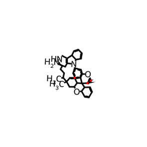 CC(CCCN)C1(C)C=CC2C(C1)OC1C=CC=CC1C21c2ccccc2Oc2cc(N3C4=C(CNCC4)C4C=CC=CC43)ccc21